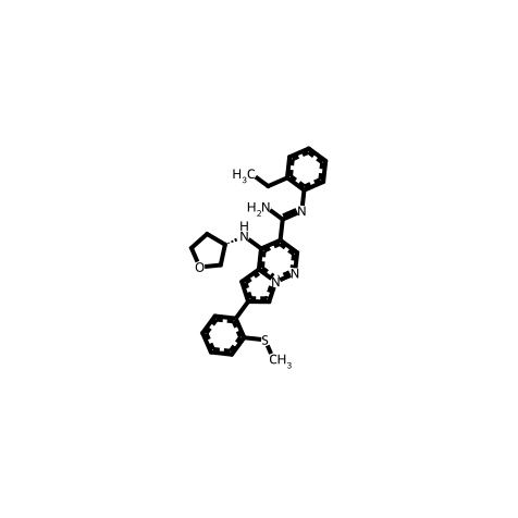 CCc1ccccc1/N=C(\N)c1cnn2cc(-c3ccccc3SC)cc2c1N[C@H]1CCOC1